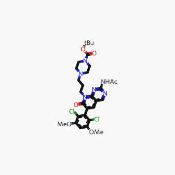 COc1cc(OC)c(Cl)c(-c2cc3cnc(NC(C)=O)nc3n(CCCN3CCN(C(=O)OC(C)(C)C)CC3)c2=O)c1Cl